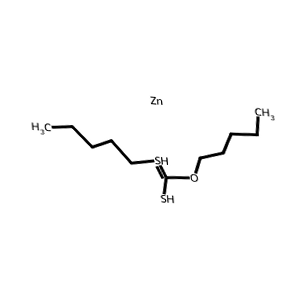 CCCCCOC(S)=[SH]CCCCC.[Zn]